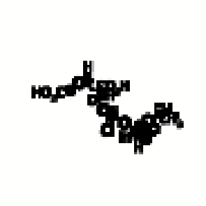 CCN(NS(=O)(=O)c1cccc2c(N(C)C)cccc12)C(=O)c1ccc(-c2nc3cc(C(=O)NC(Cc4c[nH]c5ccc(OCC(=O)O)cc45)C(=O)O)ccc3n2C2CCCCC2)cc1